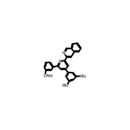 COc1cccc(-c2cc(-c3cc(C(C)(C)C)cc(C(C)(C)C)c3)cc(-c3cc4ccccc4cn3)n2)c1